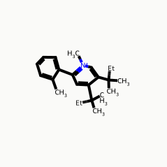 CCC(C)(C)c1cc(-c2ccccc2C)[n+](C)cc1C(C)(C)CC